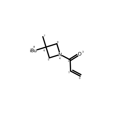 C=CC(=O)N1CC(C)(C(C)CC)C1